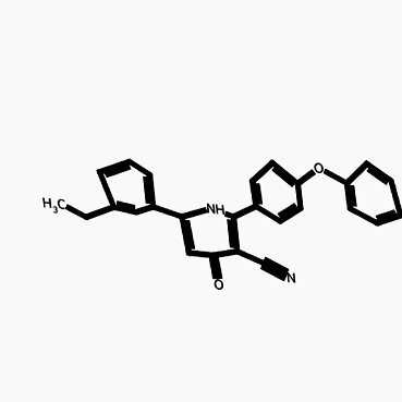 CCc1cccc(-c2cc(=O)c(C#N)c(-c3ccc(Oc4ccccc4)cc3)[nH]2)c1